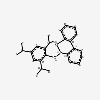 CC(C)c1cc(C(C)C)c(OP2Oc3ccccc3-c3ccccc32)c(C(C)C)c1